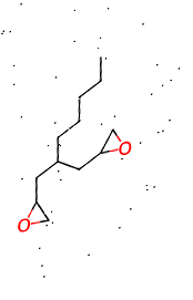 CCCCCC(CC1CO1)CC1CO1